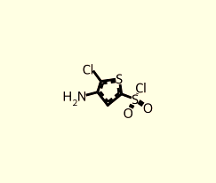 Nc1cc(S(=O)(=O)Cl)sc1Cl